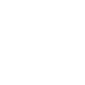 CC(C)=CC(=O)CC(C)C1C=CC(C)=CC1